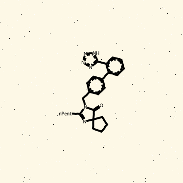 CCCCCC1=NC2(CCCC2)C(=O)N1Cc1ccc(-c2ccccc2-c2nnn[nH]2)cc1